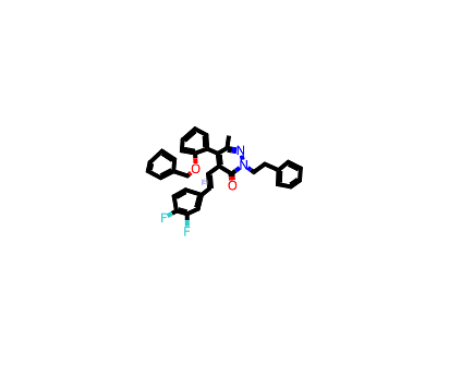 Cc1nn(CCc2ccccc2)c(=O)c(/C=C/c2ccc(F)c(F)c2)c1-c1ccccc1OCc1ccccc1